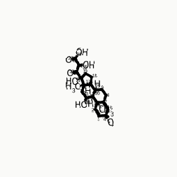 C[C@]12C=CC(=O)C=C1CC[C@@H]1[C@@H]2C(O)C[C@@]2(C)[C@H]1CC[C@]2(O)C(=O)C(O)C(=O)O